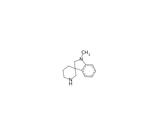 CN1CC2(CCCNC2)c2ccccc21